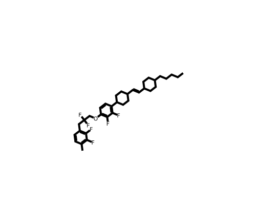 CCCCCC1CCC(/C=C/C2CCC(c3ccc(OCC(F)(F)Cc4ccc(C)c(F)c4F)c(F)c3F)CC2)CC1